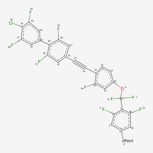 CCCCCc1cc(F)c(C(F)(F)Oc2ccc(C#Cc3cc(F)c(-c4cc(F)c(Cl)c(F)c4)c(F)c3)c(F)c2)c(F)c1